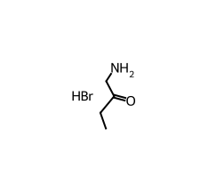 Br.CCC(=O)CN